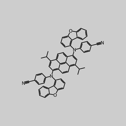 CC(C)c1cc(N(c2ccc(C#N)cc2)c2cccc3oc4ccccc4c23)c2ccc3c(C(C)C)cc(N(c4ccc(C#N)cc4)c4cccc5oc6ccccc6c45)c4ccc1c2c34